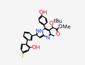 COC(=O)C(OC(C)(C)C)c1c(C)nc2cc(-c3cccc(-c4ccc(F)cc4O)c3)nn2c1-c1ccc(O)cc1